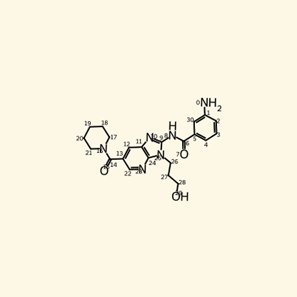 Nc1cccc(C(=O)Nc2nc3cc(C(=O)N4CCCCC4)cnc3n2CCCO)c1